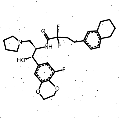 O=C(N[C@H](CN1CCCC1)[C@H](O)c1cc(F)c2c(c1)OCCO2)C(F)(F)CCc1ccc2c(c1)CCCC2